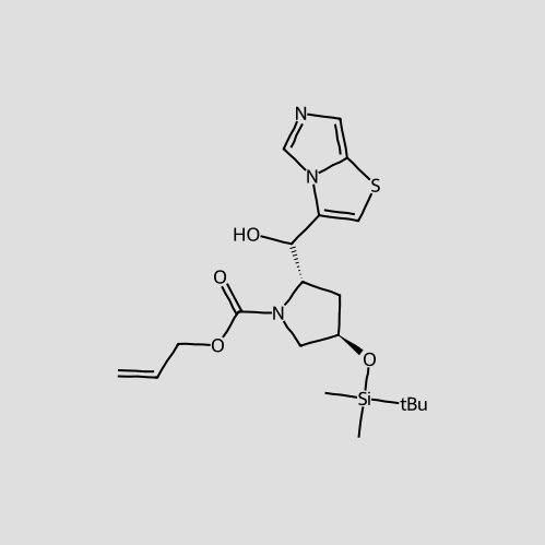 C=CCOC(=O)N1C[C@H](O[Si](C)(C)C(C)(C)C)C[C@H]1C(O)c1csc2cncn12